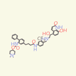 C[N+]1(C)CCC(OC(=O)Nc2cc(CCCC(=O)Nc3ccc(CNC[C@@H](O)c4ccc(O)c5[nH]c(=O)ccc45)c(C(F)(F)F)c3)ccc2-c2ccccc2)CC1